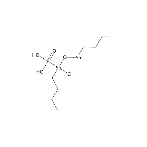 CCC[CH2][Sn][O][Sn]([Cl])([CH2]CCC)[P](=O)(O)O